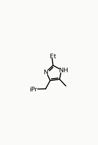 CCc1nc(CC(C)C)c(C)[nH]1